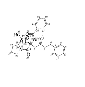 C[C@](CC(=O)CCc1ccccc1)(NC(=O)c1ccccc1)C(=O)N1CCC[C@H]1C(=O)O